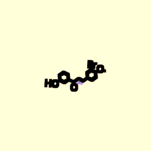 COc1ccc(/C=C/C(=O)c2cccc(O)c2)cc1Br